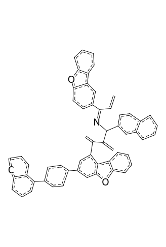 C=C/C(=N\C(C(=C)C(=C)c1cc(-c2ccc(-c3cccc4ccccc34)cc2)cc2oc3ccccc3c12)c1ccc2ccccc2c1)c1ccc2oc3ccccc3c2c1